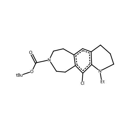 CCN1CCCc2cc3c(c(Cl)c21)CCN(C(=O)OC(C)(C)C)CC3